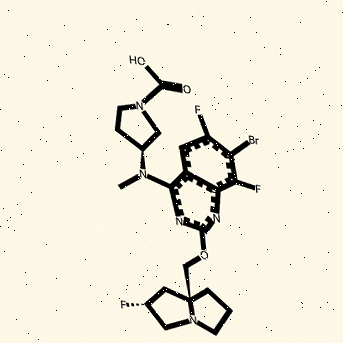 CN(c1nc(OC[C@@]23CCCN2C[C@H](F)C3)nc2c(F)c(Br)c(F)cc12)[C@H]1CCN(C(=O)O)C1